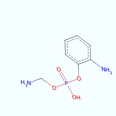 NCOP(=O)(O)Oc1ccccc1N